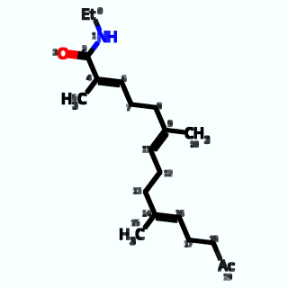 CCNC(=O)C(C)=CCCC(C)=CCCC(C)=CCCC(C)=O